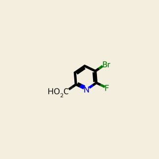 O=C(O)c1ccc(Br)c(F)n1